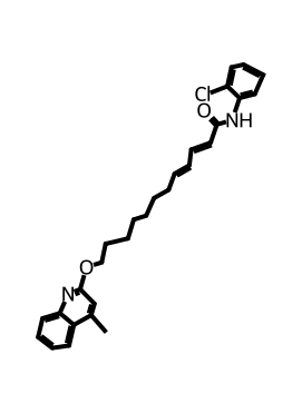 Cc1cc(OCCCCCCCC=CC=CC(=O)Nc2ccccc2Cl)nc2ccccc12